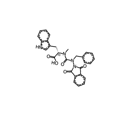 CN(C(=O)N(Cc1ccccc1)N1C(=O)c2ccccc2C1=O)[C@@H](Cc1c[nH]c2ccccc12)C(=O)O